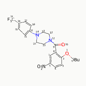 CCC(C)Oc1ccc([N+](=O)[O-])cc1C(=O)N1CCN(c2ccc(C(F)(F)F)cc2)CC1